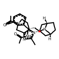 CC(=O)N[C@@H](CCN1[C@@H]2CC[C@H]1C[C@@H](n1c(C)nc3c1CCN(C(C)=O)C3)C2)c1cccc(F)c1